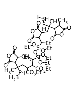 BP(I)C(C)(CC(C(=O)OCC)C(C(=O)OCC)C(CC)[Si](OCC)(OCC)O[Si](OCC)(OCC)C(CC)C1C(=O)OC(=O)C1CC(C)(PBI)C1C(=O)OC(=O)C1C)C1C(=O)OC(=O)C1C